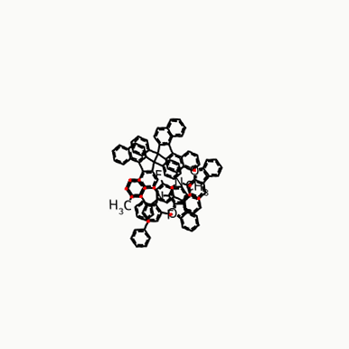 Cc1ccccc1-c1cc(-c2ccccc2)cc(F)c1N(c1cc2c(c3ccccc13)-c1c(ccc3ccccc13)C2(c1ccccc1)C1(c2ccccc2)c2ccc3ccccc3c2-c2c1cc(N(c1c(F)cc(-c3ccccc3)cc1-c1ccccc1C)c1cccc3c1oc1ccccc13)c1ccccc21)c1cccc2c1oc1ccccc12